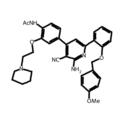 COc1ccc(COc2ccccc2-c2cc(-c3ccc(NC(C)=O)c(OCCN4CCCCC4)c3)c(C#N)c(N)n2)cc1